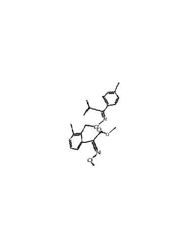 CO/N=C(/C(=O)OC)c1cccc(C)c1CO/N=C(/c1ccc(C)cc1)C(C)C